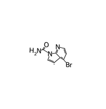 NC(=O)n1c[c]c2c(Br)ccnc21